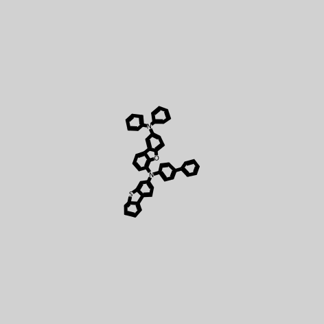 c1ccc(-c2ccc(N(c3ccc4c(c3)sc3ccccc34)c3cccc4c3oc3ccc(N(c5ccccc5)c5ccccc5)cc34)cc2)cc1